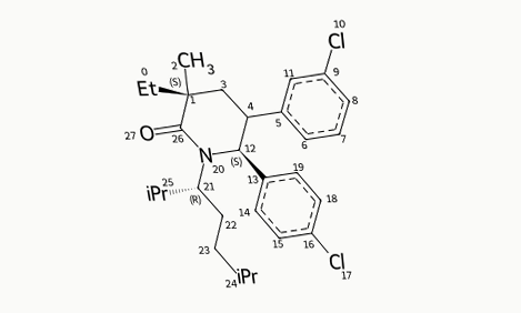 CC[C@@]1(C)CC(c2cccc(Cl)c2)[C@@H](c2ccc(Cl)cc2)N([C@H](CCC(C)C)C(C)C)C1=O